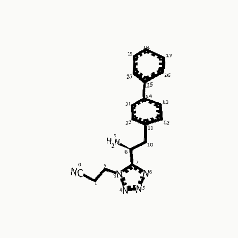 N#CCCn1nnnc1[C@@H](N)Cc1ccc(-c2ccccc2)cc1